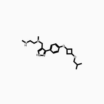 CNCCN(C)Cc1c[nH]nc1-c1ccc(OC2CC(OCC(C)C)C2)cc1